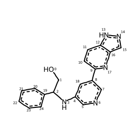 OCC(Nc1cncc(-c2ccc3[nH]ncc3n2)c1)c1ccccc1